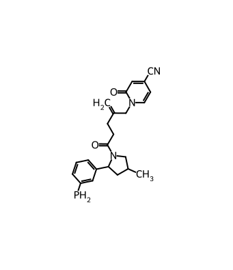 C=C(CCC(=O)N1CC(C)CC1c1cccc(P)c1)Cn1ccc(C#N)cc1=O